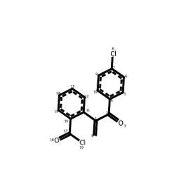 C=C(C(=O)c1ccc(Cl)cc1)c1ccccc1C(=O)Cl